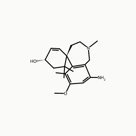 COc1cc(N)c2c(c1C)[C@]1(C=C[C@@H](O)CC1(C)C)CCN(C)C2